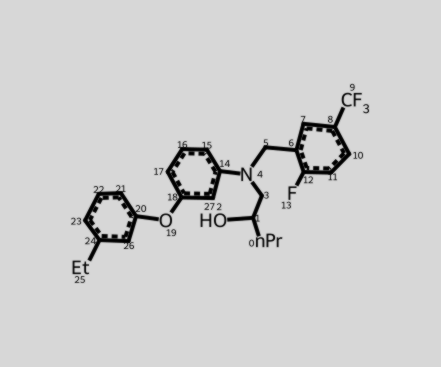 CCCC(O)CN(Cc1cc(C(F)(F)F)ccc1F)c1cccc(Oc2cccc(CC)c2)c1